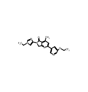 Cc1cc(-c2cncc(OCC(F)(F)F)c2)nc2c1C(=O)N(c1cn(CC(F)(F)F)cn1)C2